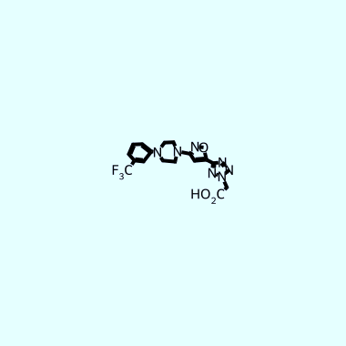 O=C(O)Cn1nnc(-c2cc(N3CCN(c4cccc(C(F)(F)F)c4)CC3)no2)n1